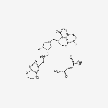 O=C(O)/C=C/C(=O)O.O=c1ccc2ccc(F)c3c2n1[C@H](CN1C[C@H](CNCc2cc4c(nn2)OCCO4)[C@H](O)C1)CO3